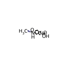 C/C=C/C(=O)Nc1ccc2c(c1)CN(C(=O)O)C2